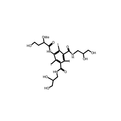 COC(CCO)C(=O)Nc1c(I)c(C(=O)NCC(O)CO)c(I)c(C(=O)NCC(O)CO)c1I